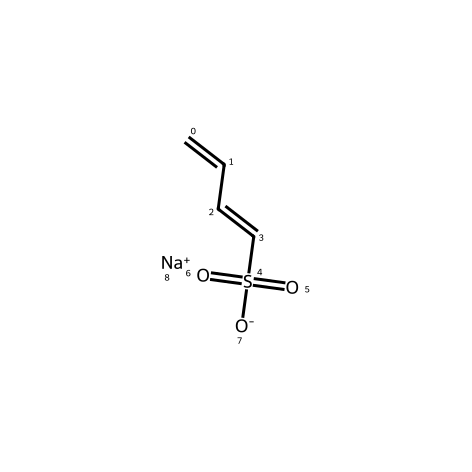 C=CC=CS(=O)(=O)[O-].[Na+]